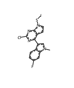 Cn1cc(-c2nc(Cl)nc3c2ccn3SI)c2ccc(F)cc21